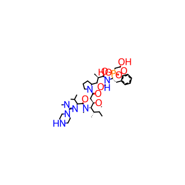 CC[C@H](C)[C@@H]([C@@H](CC(=O)N1CCCC1[C@H](OC)[C@@H](C)C(=O)N[C@@H](Cc1ccccc1)P(=O)(O)CC(=O)O)OC)N(C)C(=O)C(N=C(N(C)C)N1CCNCC1)C(C)C